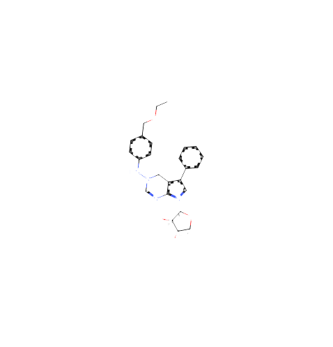 CCOCc1ccc(NN2C=Nc3c(c(-c4ccccc4)cn3[C@@H]3O[C@H](C)[C@@H](O)[C@H]3O)C2)cc1